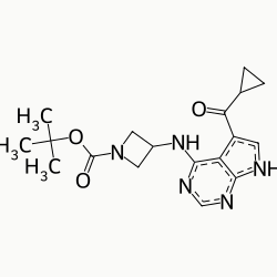 CC(C)(C)OC(=O)N1CC(Nc2ncnc3[nH]cc(C(=O)C4CC4)c23)C1